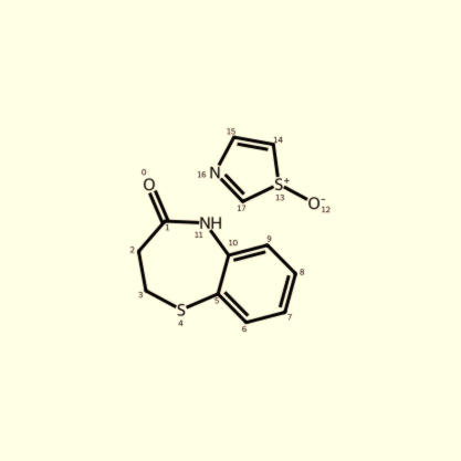 O=C1CCSc2ccccc2N1.[O-][s+]1ccnc1